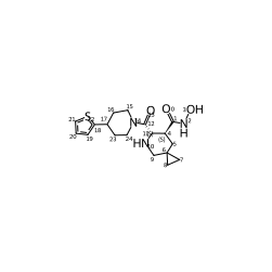 O=C(NO)[C@H]1CC2(CC2)CN[C@@H]1C(=O)N1CCC(c2cccs2)CC1